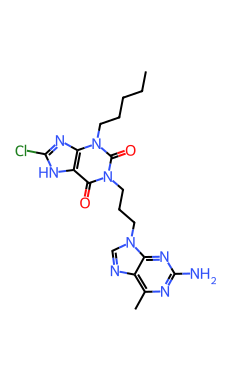 CCCCCn1c(=O)n(CCCn2cnc3c(C)nc(N)nc32)c(=O)c2[nH]c(Cl)nc21